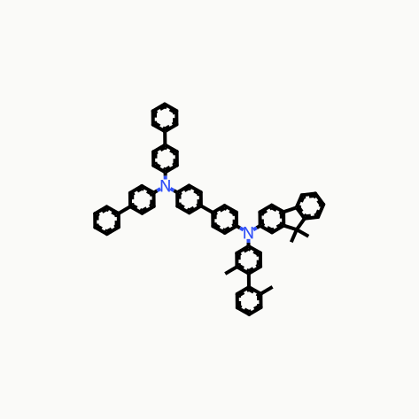 Cc1ccccc1-c1ccc(N(c2ccc(-c3ccc(N(c4ccc(-c5ccccc5)cc4)c4ccc(-c5ccccc5)cc4)cc3)cc2)c2ccc3c(c2)C(C)(C)c2ccccc2-3)cc1C